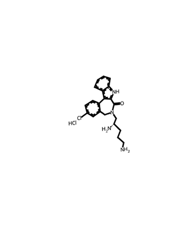 Cl.NCCC[C@H](N)CN1Cc2cc(Cl)ccc2-c2c([nH]c3ccccc23)C1=O